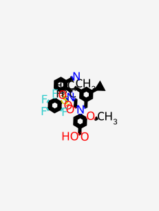 CCOc1cc(C(=O)O)ccc1N(Cc1cc(C2CC2)cc(C(C)(C)C)c1)C(=O)CN(Cc1ccccc1C#N)S(=O)(=O)c1c(F)cc(F)c(F)c1F